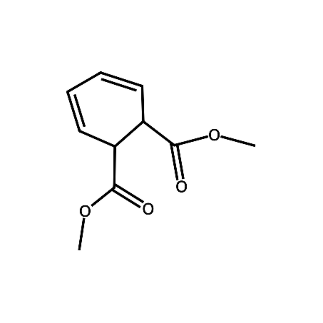 COC(=O)C1C=CC=CC1C(=O)OC